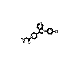 CN(C)CC(=O)N1CCC(c2cn(-c3ccc(Cl)cc3)c3cnccc23)CC1